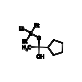 CC[Si](CC)(CC)OC(C)(O)C1CCCC1